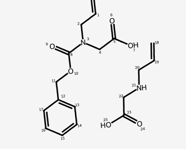 C=CCN(CC(=O)O)C(=O)OCc1ccccc1.C=CCNCC(=O)O